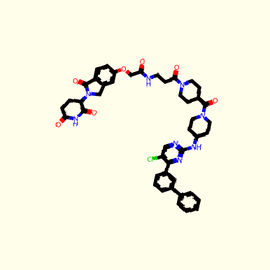 O=C(COc1ccc2c(c1)CN(C1CCC(=O)NC1=O)C2=O)NCCC(=O)N1CCC(C(=O)N2CCC(Nc3ncc(Cl)c(-c4cccc(-c5ccccc5)c4)n3)CC2)CC1